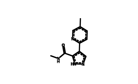 CNC(=O)c1[nH]ncc1-c1ccc(C)cn1